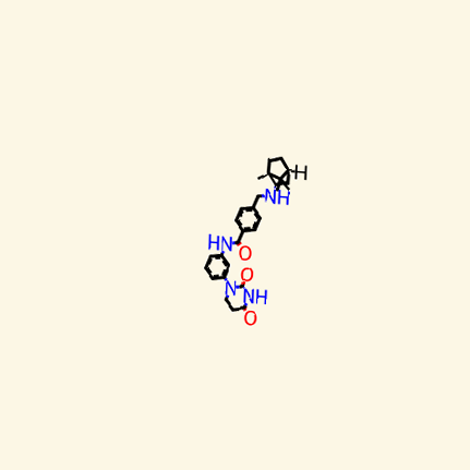 CC1(C)[C@@H]2CC[C@@]1(C)[C@@H](NCc1ccc(C(=O)Nc3cccc(N4CCC(=O)NC4=O)c3)cc1)C2